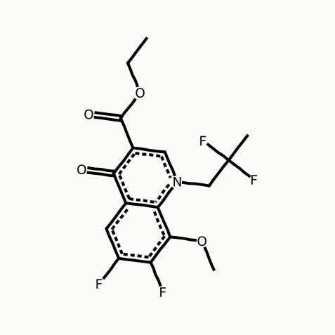 CCOC(=O)c1cn(CC(C)(F)F)c2c(OC)c(F)c(F)cc2c1=O